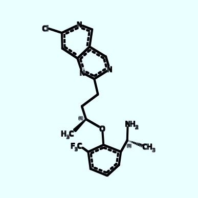 C[C@@H](CCc1ncc2cnc(Cl)cc2n1)Oc1c([C@@H](C)N)cccc1C(F)(F)F